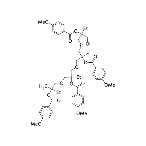 CCC(C)(COCC(CC)(COCC(CC)(COCC(CC)(CO)OC(=O)c1ccc(OC)cc1)OC(=O)c1ccc(OC)cc1)OC(=O)c1ccc(OC)cc1)OC(=O)c1ccc(OC)cc1